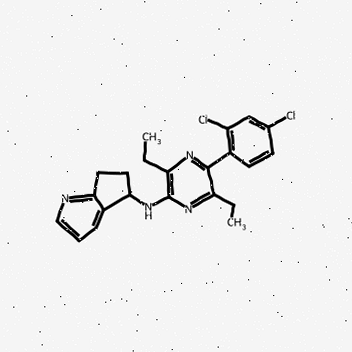 CCc1nc(-c2ccc(Cl)cc2Cl)c(CC)nc1NC1CCc2ncccc21